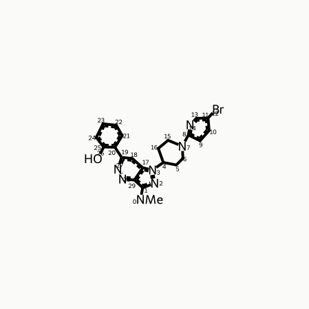 CNc1nn(C2CCN(c3ccc(Br)cn3)CC2)c2cc(-c3ccccc3O)nnc12